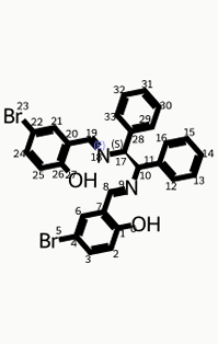 Oc1ccc(Br)cc1C=NC(c1ccccc1)[C@@H](/N=C/c1cc(Br)ccc1O)c1ccccc1